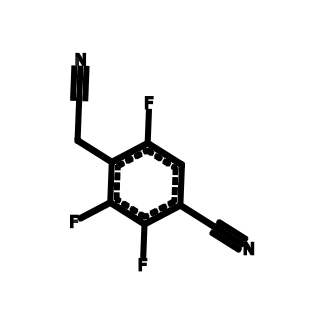 N#CCc1c(F)cc(C#N)c(F)c1F